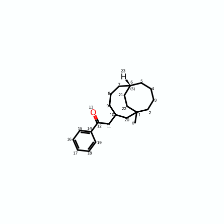 CC12CCCC[C@@H](CCCC(CC(=O)c3ccccc3)C1)CC2